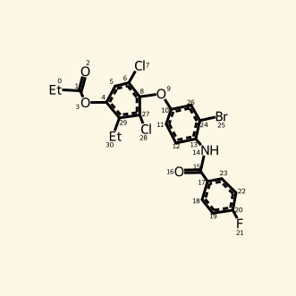 CCC(=O)Oc1cc(Cl)c(Oc2ccc(NC(=O)c3ccc(F)cc3)c(Br)c2)c(Cl)c1CC